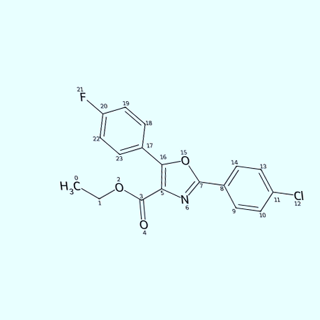 CCOC(=O)c1nc(-c2ccc(Cl)cc2)oc1-c1ccc(F)cc1